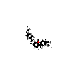 CO[C@H]1C[C@@](C)(C#N)C(N)=N[C@]1(C)c1cc(NC(=O)c2cnc(OCF)cn2)ccc1F